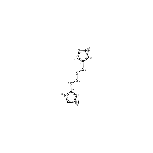 c1nc(SSSSc2c[nH]cn2)c[nH]1